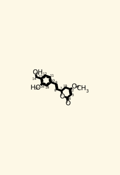 COC1=CC(=O)OC(/C=C/c2ccc(CO)c(O)c2)C1